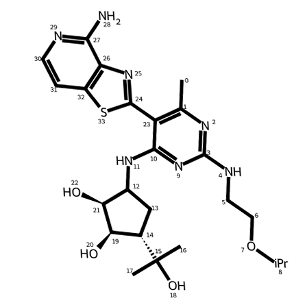 Cc1nc(NCCOC(C)C)nc(NC2C[C@H](C(C)(C)O)[C@@H](O)[C@H]2O)c1-c1nc2c(N)nccc2s1